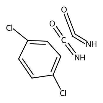 Clc1ccc(Cl)cc1.N=C=O.N=C=O